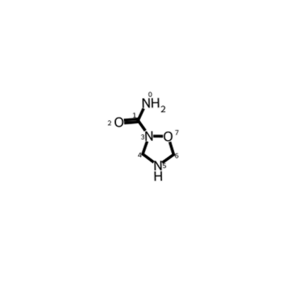 NC(=O)N1CNCO1